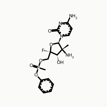 C[C@]1(N)[C@H](n2ccc(N)nc2=O)O[C@](F)(COP(C)(=O)Oc2ccccc2)[C@H]1O